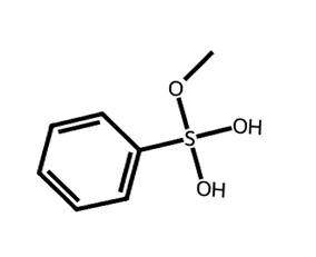 COS(O)(O)c1ccccc1